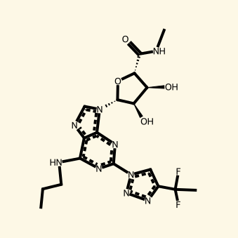 CCCNc1nc(-n2cc(C(C)(F)F)nn2)nc2c1ncn2[C@@H]1O[C@H](C(=O)NC)[C@@H](O)[C@H]1O